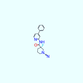 N#CN1CCCC(F)(C(=O)Nc2cc(-c3ccccc3)ccn2)C1